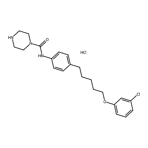 Cl.O=C(Nc1ccc(CCCCCOc2cccc(Cl)c2)cc1)N1CCNCC1